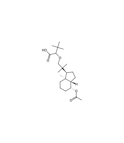 CC(=O)O[C@@H]1CCC[C@]2(C)[C@@H]1CC[C@@H]2C(C)(C)COC(C(=O)O)C(C)(C)C